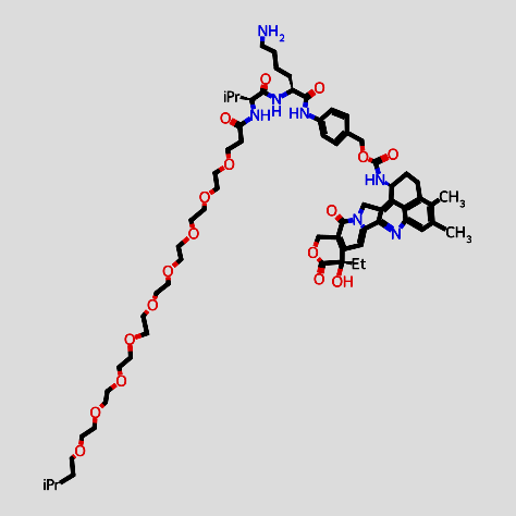 CC[C@@]1(O)C(=O)OCc2c1cc1n(c2=O)Cc2c-1nc1cc(C)c(C)c3c1c2[C@@H](NC(=O)OCc1ccc(NC(=O)[C@H](CCCCN)NC(=O)[C@@H](NC(=O)CCOCCOCCOCCOCCOCCOCCOCCOCCOCCC(C)C)C(C)C)cc1)CC3